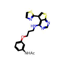 CC(=O)Nc1cccc(OCCCNc2ncnc3scc(-c4nccs4)c23)c1